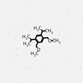 COCc1cc(COC)c(C(C)C)cc1C(C)C